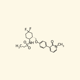 CCS(=O)(=O)N[C@H]1CCC(F)(F)C[C@@H]1COc1ccc(-c2cccn(C)c2=O)cc1